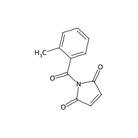 Cc1ccccc1C(=O)N1C(=O)C=CC1=O